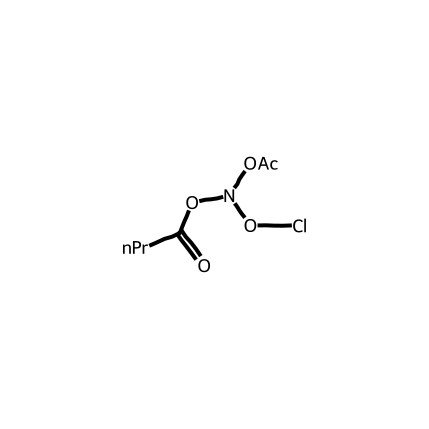 CCCC(=O)ON(OCl)OC(C)=O